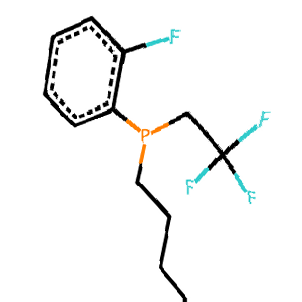 CCCCP(CC(F)(F)F)c1ccccc1F